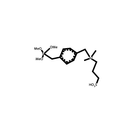 CO[Si](Cc1ccc(C[N+](C)(C)CCCS(=O)(=O)O)cc1)(OC)OC